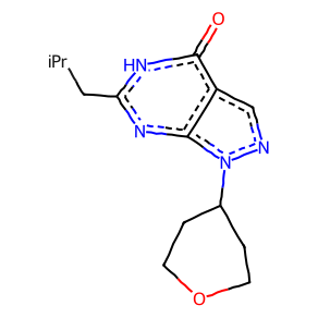 CC(C)Cc1nc2c(cnn2C2CCOCC2)c(=O)[nH]1